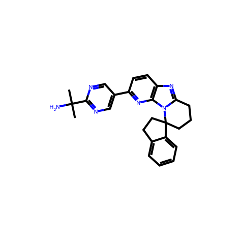 CC(C)(N)c1ncc(-c2ccc3nc4n(c3n2)C2(CCC4)CCc3ccccc32)cn1